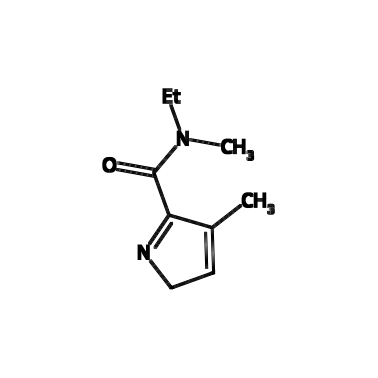 CCN(C)C(=O)C1=NCC=C1C